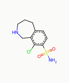 NS(=O)(=O)c1ccc2c(c1Cl)CNCCC2